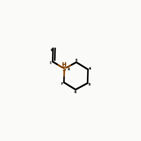 C=C[SH]1CCCCC1